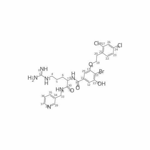 N=C(N)NCCCC(NC(=O)c1cc(O)c(Br)c(OCCc2ccc(Cl)cc2Cl)c1)C(=O)NCc1cccnc1